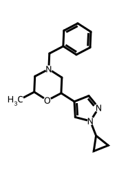 CC1CN(Cc2ccccc2)CC(c2cnn(C3CC3)c2)O1